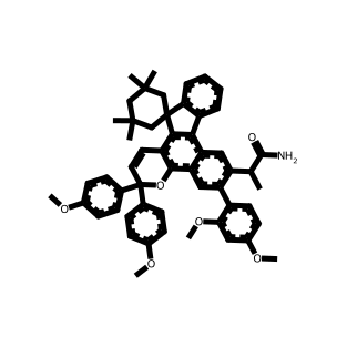 COc1ccc(C2(c3ccc(OC)cc3)C=Cc3c4c(c5cc(C(C)C(N)=O)c(-c6ccc(OC)cc6OC)cc5c3O2)-c2ccccc2C42CC(C)(C)CC(C)(C)C2)cc1